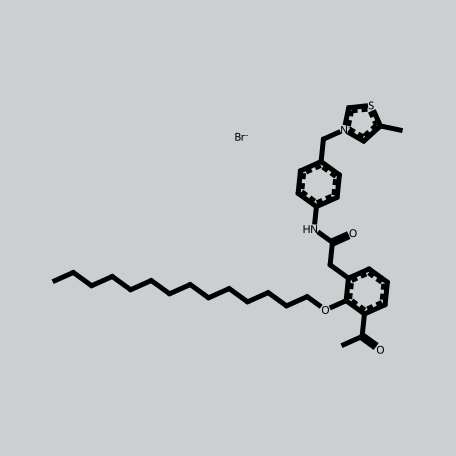 CCCCCCCCCCCCCCOc1c(CC(=O)Nc2ccc(C[n+]3csc(C)c3)cc2)cccc1C(C)=O.[Br-]